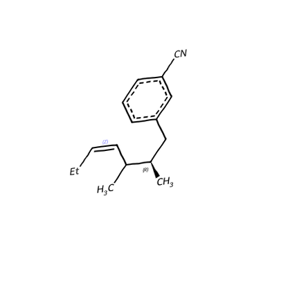 CC/C=C\C(C)[C@H](C)Cc1cccc(C#N)c1